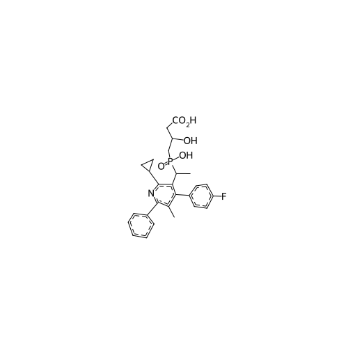 Cc1c(-c2ccccc2)nc(C2CC2)c(C(C)P(=O)(O)CC(O)CC(=O)O)c1-c1ccc(F)cc1